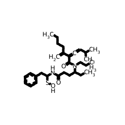 C=C(CCCC)C(=C=CC(C)C)C(=O)N(CCC)C(CC)CCC(=O)NC(Cc1ccccc1)SO